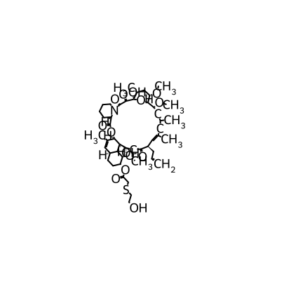 C=CC[C@@H]1/C=C(\C)CC(C)C[C@H](OC)[C@H]2O[C@@](O)(C(=O)C(=O)N3CCCC[C@H]3C(=O)O[C@@H]3C(C)=C[C@@H]4CC[C@@H](OC(=O)CSCCO)[C@H](OC)C4[C@@H]3[C@@H](O)CC1=O)[C@H](C)C[C@@H]2OC